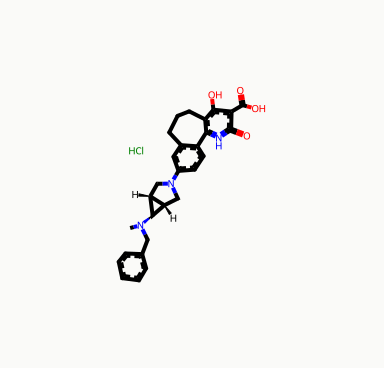 CN(Cc1ccccc1)[C@H]1[C@@H]2CN(c3ccc4c(c3)CCCc3c-4[nH]c(=O)c(C(=O)O)c3O)C[C@@H]21.Cl